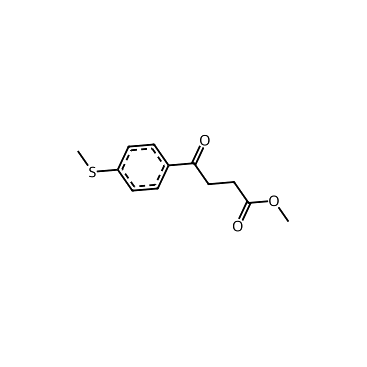 COC(=O)CCC(=O)c1ccc(SC)cc1